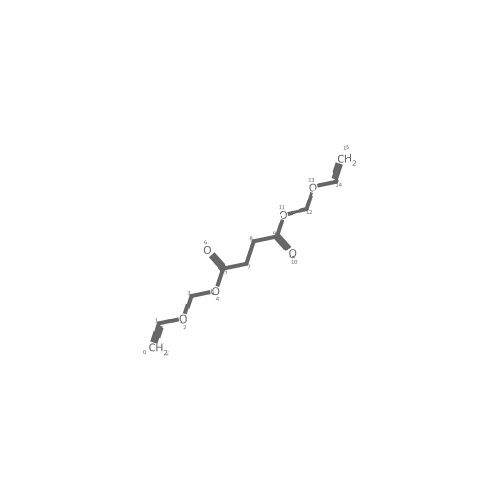 C=COCOC(=O)CCC(=O)OCOC=C